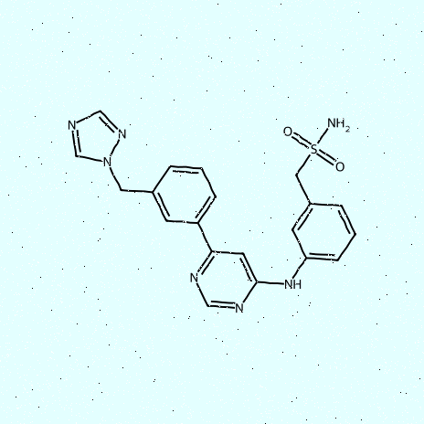 NS(=O)(=O)Cc1cccc(Nc2cc(-c3cccc(Cn4cncn4)c3)ncn2)c1